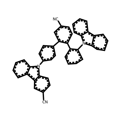 N#Cc1ccc(-c2ccccc2-n2c3ccccc3c3ccccc32)c(-c2ccc(-n3c4ccccc4c4cc(C#N)ccc43)cc2)c1